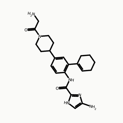 NCC(=O)N1CCC(c2ccc(NC(=O)c3nc(N)c[nH]3)c(C3=CCCCC3)c2)CC1